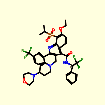 CCOc1ccc2c(C(=O)N[C@H](c3ccccc3)C(F)(F)F)c(CN3CCC(N4CCOCC4)CC3)c(-c3cccc(C(F)(F)F)c3)nc2c1S(=O)(=O)C(C)C